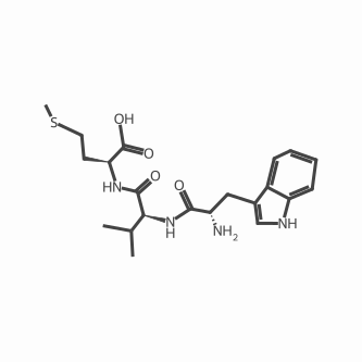 CSCC[C@H](NC(=O)[C@@H](NC(=O)[C@@H](N)Cc1c[nH]c2ccccc12)C(C)C)C(=O)O